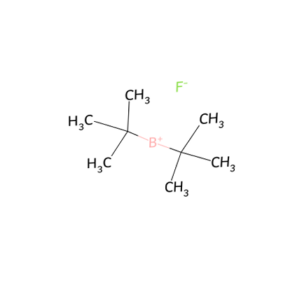 CC(C)(C)[B+]C(C)(C)C.[F-]